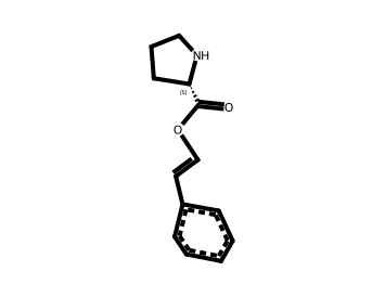 O=C(OC=Cc1ccccc1)[C@@H]1CCCN1